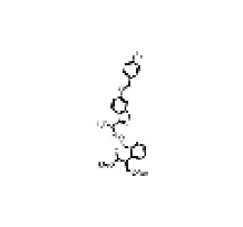 CO/C=C(/C(=O)OC)c1ccccc1CO/N=C(/C)c1noc2cc(OCc3ccc(C(F)(F)F)cc3)ccc12